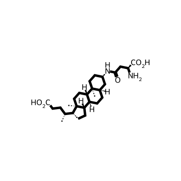 C[C@H](CCC(=O)O)[C@H]1CC[C@H]2[C@@H]3CC[C@@H]4C[C@@H](NC(=O)C[C@H](N)C(=O)O)CC[C@]4(C)[C@H]3CC[C@]12C